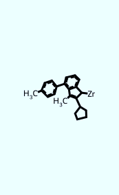 CC1=C(C2CCCC2)[CH]([Zr])c2cccc(-c3ccc(C)cc3)c21